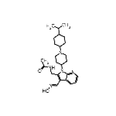 CC(=O)NCc1c(C=NO)c2cccnc2n1C1CCN(C2CCC(C(C)C)CC2)CC1